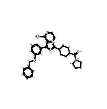 Nc1nccn2c(C3CCC(C(=O)N4CCCC4)CC3)nc(-c3cccc(OCc4ccccc4)c3)c12